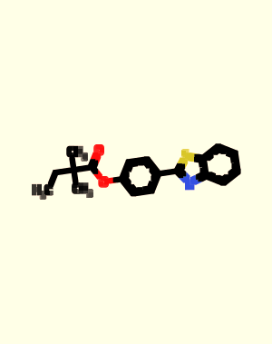 CCC(C)(C)C(=O)Oc1ccc(-c2nc3ccccc3s2)cc1